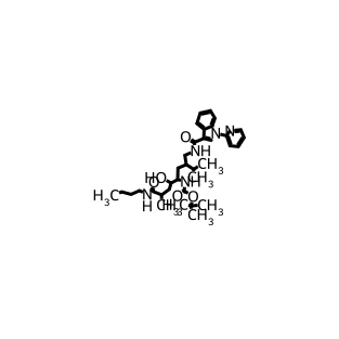 CCCCNC(=O)C(C)CC(O)C(CC(CNC(=O)c1cn(-c2ccccn2)c2ccccc12)C(C)C)NC(=O)OC(C)(C)C